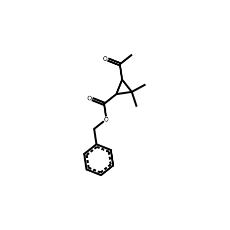 CC(=O)C1C(C(=O)OCc2ccccc2)C1(C)C